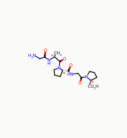 C[C@H](NC(=O)CN)C(=O)N1CCC[C@H]1C(=O)NCC(=O)N1CCC[C@H]1C(=O)O